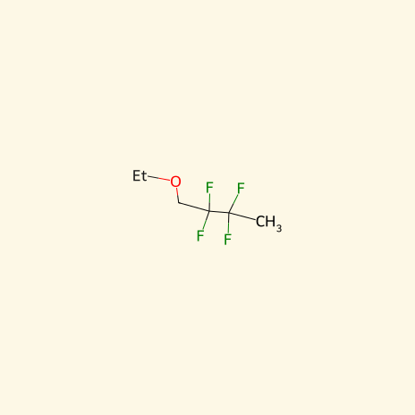 CCOCC(F)(F)C(C)(F)F